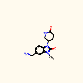 Cn1c(=O)n(C2CCC(=O)NC2)c2ccc(CN)cc21